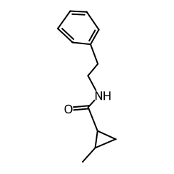 CC1CC1C(=O)NCCc1ccccc1